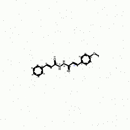 COc1ccc(/C=C/C(=O)NNC(=O)C=Cc2ccccc2)cc1